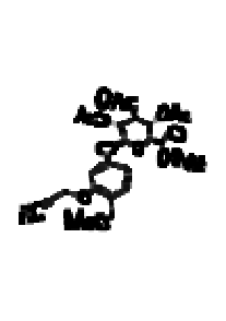 C#CCOc1cc(O[C@@H]2O[C@H](C(=O)OC)[C@@H](OC(C)=O)[C@H](OC(C)=O)[C@H]2OC(C)=O)ccc1COC